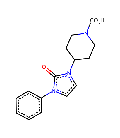 O=C(O)N1CCC(n2ccn(-c3ccccc3)c2=O)CC1